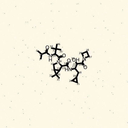 CC(C)C(=O)NC(C(=O)N1CC2C(C1C(=O)NC(CC1CC1)C(O)C(=O)N1CCC1)C2(C)C)C(C)(C)C